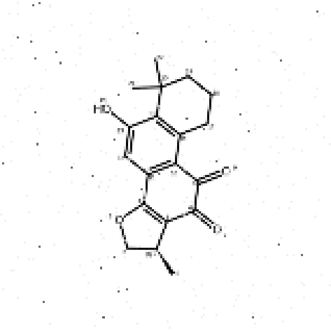 C[C@H]1COC2=C1C(=O)C(=O)c1c2cc(O)c2c1CCCC2(C)C